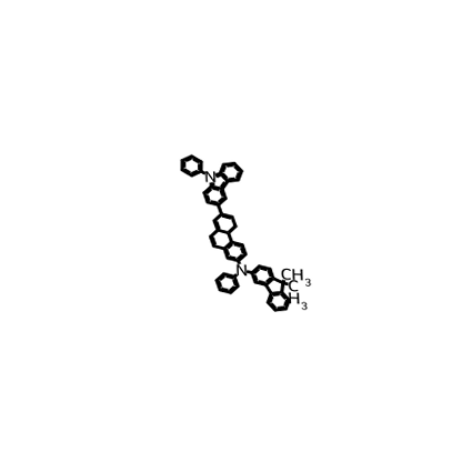 CC1(C)c2ccccc2-c2cc(N(c3ccccc3)c3ccc4c(c3)C=CC3=CC(c5ccc6c(c5)c5ccccc5n6-c5ccccc5)=CCC34)ccc21